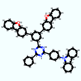 c1ccc(-c2nc(-c3ccc(-n4c5ccccc5c5ccccc54)cc3)nc(-c3cc(-c4ccc5c(c4)oc4ccccc45)cc(-c4ccc5c(c4)oc4ccccc45)c3)n2)cc1